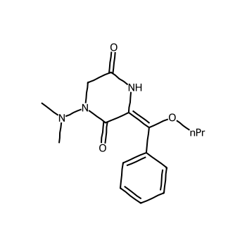 CCCOC(=C1NC(=O)CN(N(C)C)C1=O)c1ccccc1